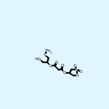 O=C(CC(=O)OC1COS(=O)(=O)C1)OC(CO)CSP